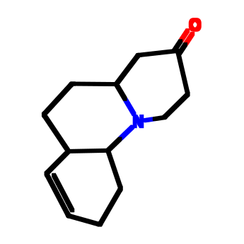 O=C1CCN2C(CCC3C=CCCC32)C1